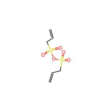 C=CCS(=O)(=O)OS(=O)(=O)CC=C